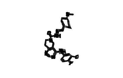 CSc1ccc(/C=N/NC(=O)N2CCc3ncnc(Nc4ccc(F)c(Cl)c4)c3C2)cc1